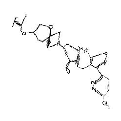 Cc1ccc(-c2noc(C)c2Cn2ncc(N3CC4(CC(OC(F)F)CO4)C3)cc2=O)nn1